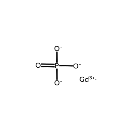 O=P([O-])([O-])[O-].[Gd+3]